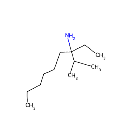 CCCCCCC(N)(CC)C(C)C